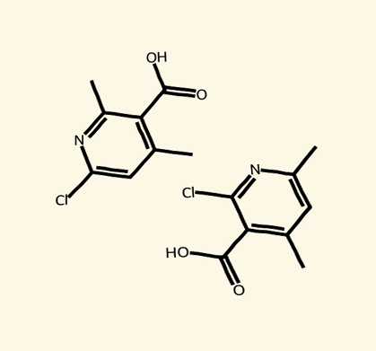 Cc1cc(C)c(C(=O)O)c(Cl)n1.Cc1cc(Cl)nc(C)c1C(=O)O